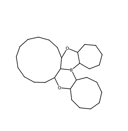 C1CCCCCC2OC3CCCCCC3B3C4CCCCCCCC4OC(CCCC1)C32